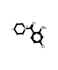 CC(C)(C)c1cc(Cl)ccc1C(=O)N1CCCCC1